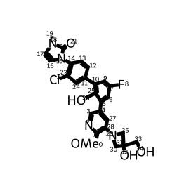 COc1ncc(-c2cc(F)cc(-c3ccc(-n4c#cn(C)c4=O)c(Cl)c3)c2O)cc1N1CC(O)(CO)C1